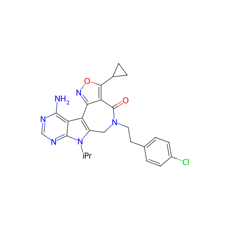 CC(C)n1c2c(c3c(N)ncnc31)-c1noc(C3CC3)c1C(=O)N(CCc1ccc(Cl)cc1)C2